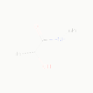 CCCNC(=O)C(O)C(C)C